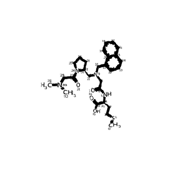 CSCC[C@H](NC(=O)CN(Cc1cccc2ccccc12)C[C@@H]1CCCN1C(=O)CN(C)C)C(=O)O